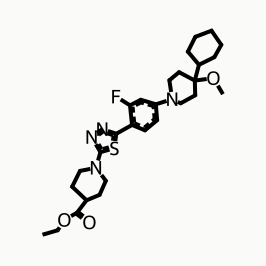 CCOC(=O)C1CCN(c2nnc(-c3ccc(N4CCC(OC)(C5CCCCC5)CC4)cc3F)s2)CC1